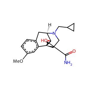 COc1ccc2c(c1)[C@]13CCN(CC4CC4)[C@H](C2)[C@]1(O)CC(C(N)=O)C3